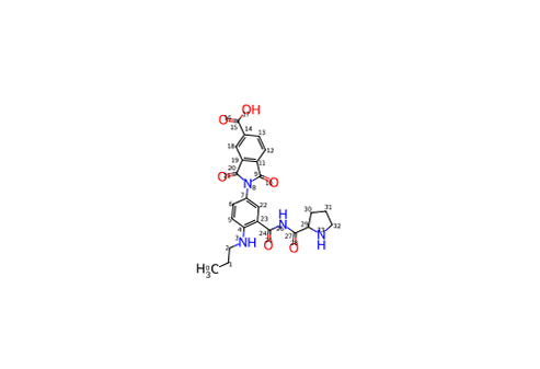 CCCNc1ccc(N2C(=O)c3ccc(C(=O)O)cc3C2=O)cc1C(=O)NC(=O)C1CCCN1